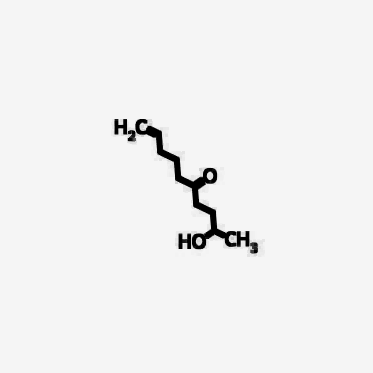 C=CCCCC(=O)CCC(C)O